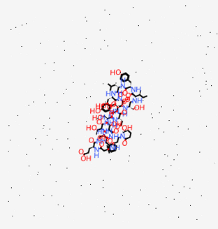 CC[C@H](C)[C@H](NC(=O)[C@H](CO)NC(=O)[C@H](Cc1ccc(O)cc1)NC(=O)[C@H](CC(=O)O)NC(=O)[C@H](CO)NC(=O)[C@@H](NC(=O)[C@H](Cc1ccccc1)NC(=O)[C@@H](NC(=O)CNC(=O)[C@H](CCC(=O)O)NC(=O)CC(C)(C)NC(=O)CCN1CCCCC1=O)[C@@H](C)O)[C@@H](C)O)C(=O)N[C@@H](Cc1ccc(O)cc1)C(=O)N[C@@H](CC(C)C)C(=O)N[C@@H](CC(=O)O)C(=O)N[C@H](C)CCCCN